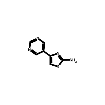 Nc1nc(-c2cncnc2)cs1